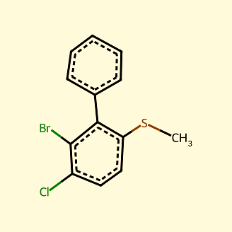 CSc1ccc(Cl)c(Br)c1-c1ccccc1